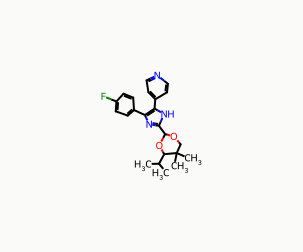 CC(C)C1OC(c2nc(-c3ccc(F)cc3)c(-c3ccncc3)[nH]2)OCC1(C)C